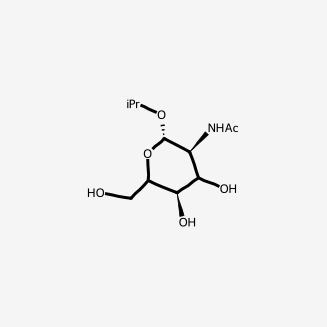 CC(=O)N[C@H]1C(O)[C@@H](O)C(CO)O[C@@H]1OC(C)C